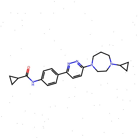 O=C(Nc1ccc(-c2ccc(N3CCCN(C4CC4)CC3)nn2)cc1)C1CC1